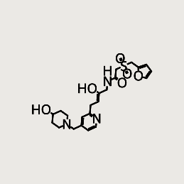 O=C(CS(=O)(=O)Cc1ccco1)NCC(O)=CCc1cc(CN2CCC(O)CC2)ccn1